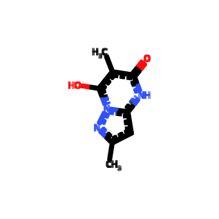 Cc1cc2[nH]c(=O)c(C)c(O)n2n1